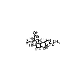 COc1ncc(Nc2nc(N[C@H](C3CC3)[C@H](C)NC(=O)O)c(F)cc2C#N)cn1